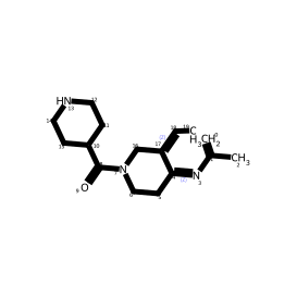 C=C(C)/N=C1/CCN(C(=O)C2CCNCC2)C/C1=C/C